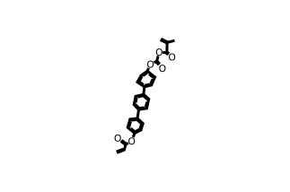 C=CC(=O)Oc1ccc(-c2ccc(-c3ccc(OC(=O)OC(=O)C(=C)C)cc3)cc2)cc1